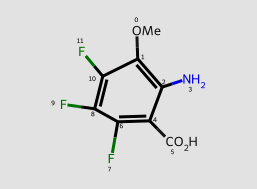 COc1c(N)c(C(=O)O)c(F)c(F)c1F